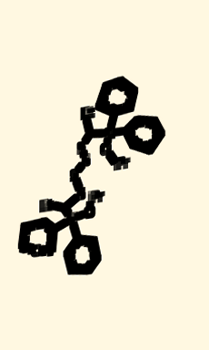 CCC(SSSSC(CC)[Si](OC(C)C)(c1ccccc1)c1ccccc1)[Si](OC(C)C)(c1ccccc1)c1ccccc1